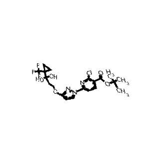 CC(C)(C)OC(=O)c1ccc(-n2ccc(OCCC(O)(O)C3(C(F)(F)F)CC3)n2)nc1Cl